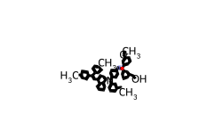 CCc1cccc(N(c2ccc(/C=C(\c3cccc(CO)c3)c3cccc(OC)c3)cc2)c2ccc(C=C(c3ccc(C)cc3)c3ccc(C)cc3)c3ccccc23)c1